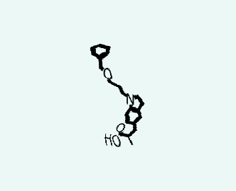 C[C@H](Cc1ccc2c(c1)CCN2CCCOCc1ccccc1)C(=O)O